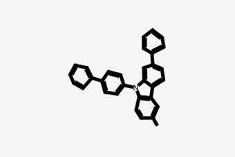 Cc1ccc2c(c1)c1ccc(-c3ccccc3)cc1n2-c1ccc(-c2ccccc2)cc1